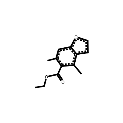 CCOC(=O)c1c(C)cc2occc2c1C